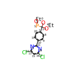 CCOC(OCC)(P=O)c1ccc(-c2nc(Cl)cc(Cl)n2)cc1